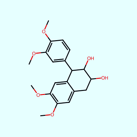 COc1ccc(C2c3cc(OC)c(OC)cc3CC(O)C2O)cc1OC